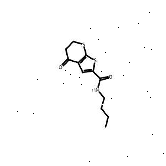 CCCCNC(=O)c1cc2c(s1)SCCC2=O